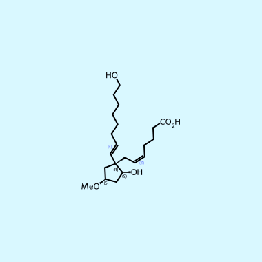 CO[C@@H]1C[C@H](O)[C@](/C=C/CCCCCCO)(C/C=C\CCCC(=O)O)C1